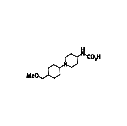 COCC1CCC(N2CCC(NC(=O)O)CC2)CC1